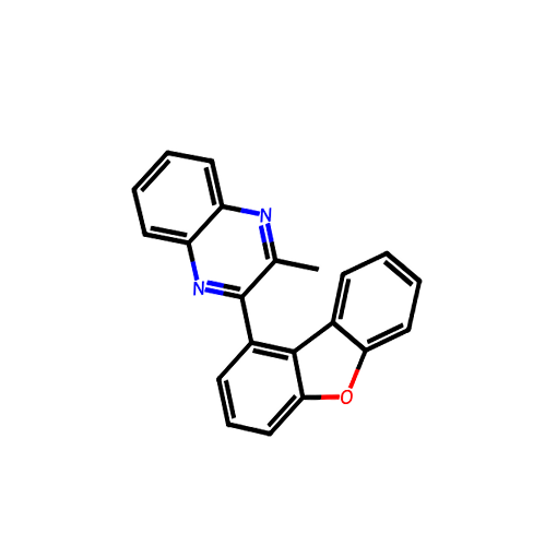 Cc1nc2ccccc2nc1-c1cccc2oc3ccccc3c12